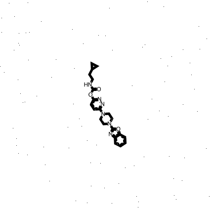 O=C(NCCC1CC1)Oc1ccc(N2CCN(c3nc4ccccc4o3)CC2)nn1